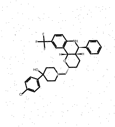 OC1(c2ccc(Cl)cc2)CCN(C[C@H]2CC[C@@H]3[C@H](O2)c2cc(C(F)(F)F)ccc2N[C@H]3c2ccccc2)CC1